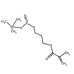 C=C(C)C(=O)OCCCO[PH](=O)O[Si](C)(C)C